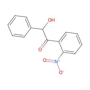 O=C(c1ccccc1[N+](=O)[O-])C(O)c1ccccc1